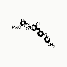 COc1cncc(NC(=O)N2CC/C(=C\c3cccc(Oc4ccc(C)cn4)c3)C(C)C2)n1